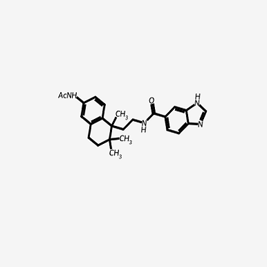 CC(=O)Nc1ccc2c(c1)CCC(C)(C)C2(C)CCNC(=O)c1ccc2nc[nH]c2c1